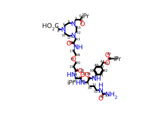 CC(C)C(=O)CN1CCN(CC(=O)O)CCN(CC(=O)NCCOCCC(=O)N[C@H](C(=O)N[C@@H](CCCNC(N)=O)C(=O)Nc2ccc(COC(=O)C(C)C)cc2)C(C)C)CC1